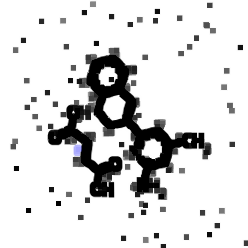 Cc1cc(N)nc(C2=Cc3ccccc3CC2)c1.O=C(O)/C=C/C(=O)O